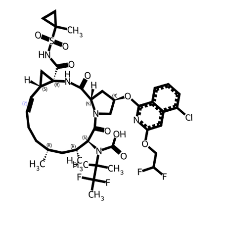 C[C@@H]1CC/C=C\[C@@H]2C[C@@]2(C(=O)NS(=O)(=O)C2(C)CC2)NC(=O)[C@@H]2C[C@@H](Oc3nc(OCC(F)F)cc4c(Cl)cccc34)CN2C(=O)[C@@H](N(C(=O)O)C(C)(C)C(C)(F)F)[C@H](C)C1